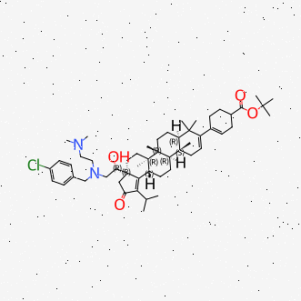 CC(C)C1=C2[C@H]3CC[C@@H]4[C@@]5(C)CC=C(C6=CCC(C(=O)OC(C)(C)C)CC6)C(C)(C)[C@@H]5CC[C@@]4(C)[C@]3(C)CC[C@@]2([C@@H](O)CN(CCN(C)C)Cc2ccc(Cl)cc2)CC1=O